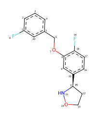 Fc1cccc(COc2cc([C@H]3CCON3)ccc2F)c1